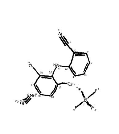 F[B-](F)(F)F.N#Cc1ccccc1Nc1c(Cl)cccc1Cl.N#[NH+]